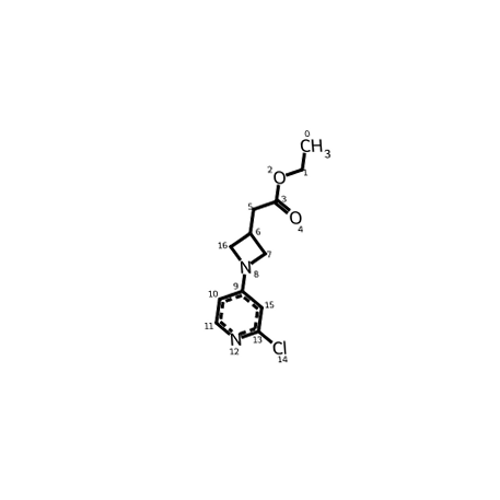 CCOC(=O)CC1CN(c2ccnc(Cl)c2)C1